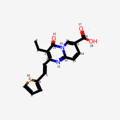 CCc1c(/C=C/c2cccs2)nc2ccc(C(=O)O)cn2c1=O